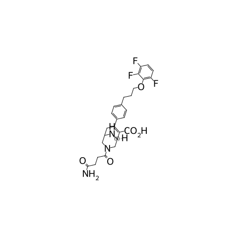 NC(=O)CCC(=O)N1CC2CC(c3ccc(CCCOc4c(F)ccc(F)c4F)cc3)=C(C(=O)O)[C@@H](C1)N2